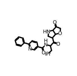 CC(C)CC(NC(=O)c1ccc(-c2ccccc2)nc1)C(=O)C1CNC2C(=O)COC12